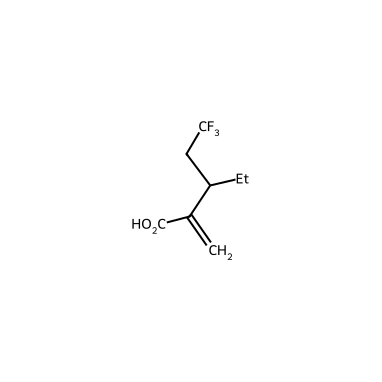 C=C(C(=O)O)C(CC)CC(F)(F)F